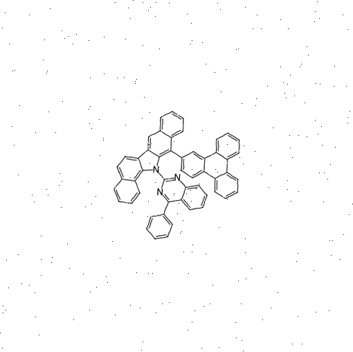 c1ccc(-c2nc(-n3c4c(-c5ccc6c7ccccc7c7ccccc7c6c5)c5ccccc5cc4c4ccc5ccccc5c43)nc3ccccc23)cc1